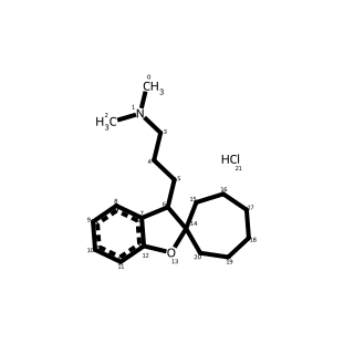 CN(C)CCCC1c2ccccc2OC12CCCCCC2.Cl